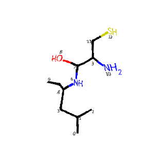 CC(C)CC(C)NC(O)C(N)CS